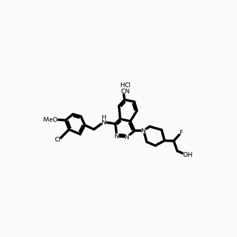 COc1ccc(CNc2nnc(N3CCC(C(F)CO)CC3)c3ccc(C#N)cc23)cc1Cl.Cl